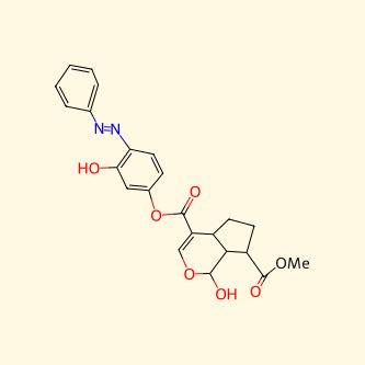 COC(=O)C1CCC2C(C(=O)Oc3ccc(/N=N/c4ccccc4)c(O)c3)=COC(O)C12